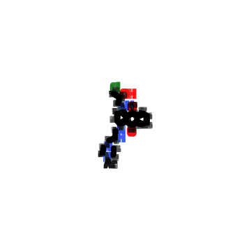 CC(=O)N1CCN(CCCNc2ccc(NCC(O)CCl)c3c2C(=O)c2ccccc2C3=O)CC1